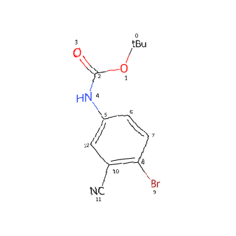 CC(C)(C)OC(=O)Nc1ccc(Br)c(C#N)c1